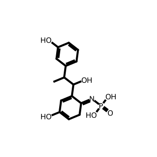 CC(c1cccc(O)c1)C(O)C1=CC(O)=CCC1=NP(=O)(O)O